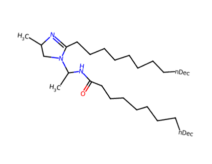 CCCCCCCCCCCCCCCCCCC1=NC(C)CN1C(C)NC(=O)CCCCCCCCCCCCCCCCC